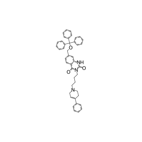 O=c1[nH]c2cc(COC(c3ccccc3)(c3ccccc3)c3ccccc3)ccc2c(=O)n1CCCCN1CC=C(c2ccccc2)CC1